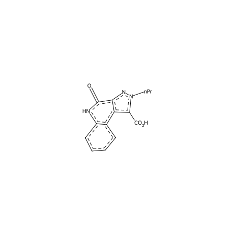 CCCn1nc2c(=O)[nH]c3ccccc3c2c1C(=O)O